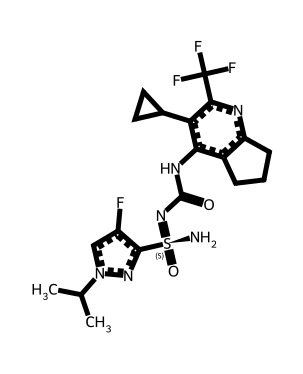 CC(C)n1cc(F)c([S@@](N)(=O)=NC(=O)Nc2c3c(nc(C(F)(F)F)c2C2CC2)CCC3)n1